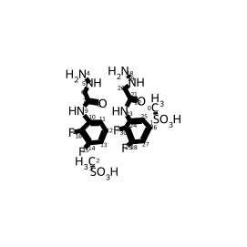 CS(=O)(=O)O.CS(=O)(=O)O.NNCC(=O)Nc1cccc(F)c1F.NNCC(=O)Nc1cccc(F)c1F